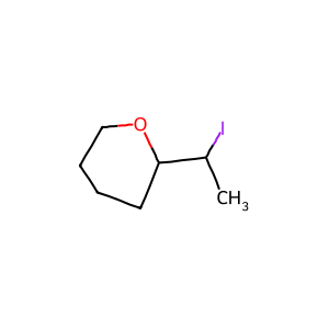 CC(I)C1CCCCO1